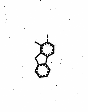 Cc1ccc2c(c1C)[C]c1ccccc1-2